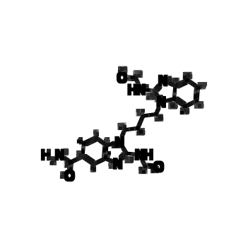 NC(=O)c1ccc2c(c1)nc(NC=O)n2CCCCn1c(NC=O)nc2ccccc21